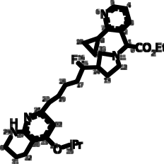 CCOC(=O)C(c1cccnc1C1CC1)N1CCC(C(F)CCCCc2cc(OC(C)C)c3c(n2)NCCC3)C1